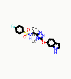 CCn1c(Oc2ccc3cc[nH]c3c2)nnc1[C@@H](C)NS(=O)(=O)c1ccc(F)cc1